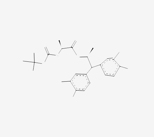 Cc1cc(C(c2ccc(Cl)c(C)c2)[C@H](C)OC(=O)[C@H](C)NC(=O)OC(C)(C)C)ccc1Cl